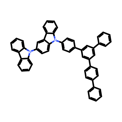 c1ccc(-c2ccc(-c3cc(-c4ccccc4)cc(-c4ccc(-n5c6ccccc6c6cc(-n7c8ccccc8c8ccccc87)ccc65)cc4)c3)cc2)cc1